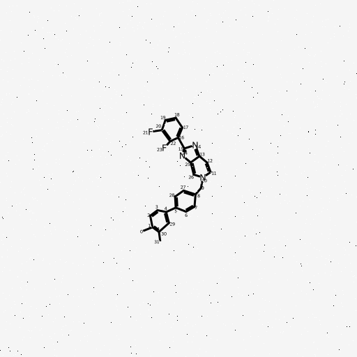 Cc1ccc(-c2ccc(Cn3ccc4nc(-c5cccc(F)c5F)nc-4c3)cc2)cc1C